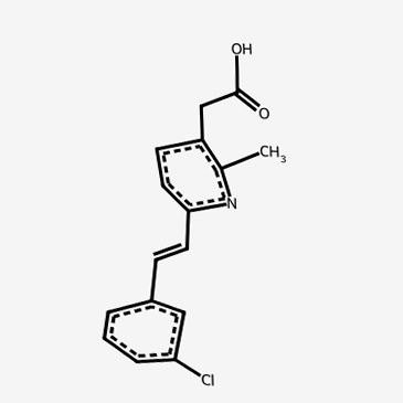 Cc1nc(C=Cc2cccc(Cl)c2)ccc1CC(=O)O